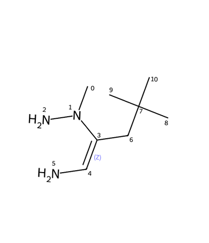 CN(N)/C(=C\N)CC(C)(C)C